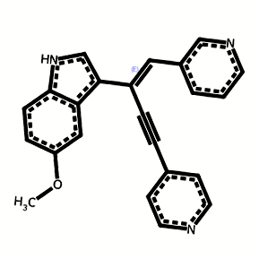 COc1ccc2[nH]cc(/C(C#Cc3ccncc3)=C/c3cccnc3)c2c1